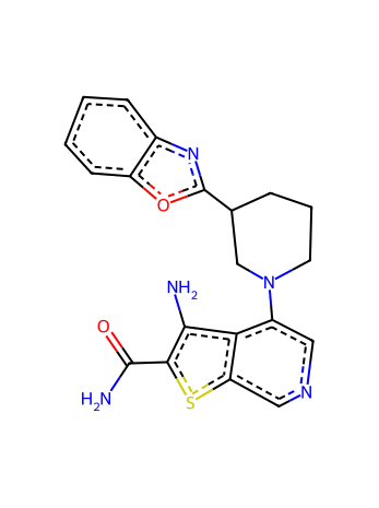 NC(=O)c1sc2cncc(N3CCCC(c4nc5ccccc5o4)C3)c2c1N